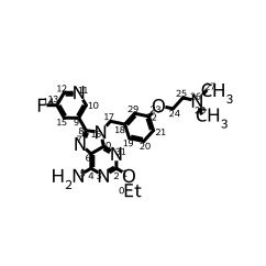 CCOc1nc(N)c2nc(-c3cncc(F)c3)n(Cc3cccc(OCCN(C)C)c3)c2n1